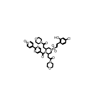 O=C(CC1CN(S(=O)(=O)/C=C/c2ccc(Cl)cc2O)CC(CC(=O)N2CCOCC2)N1C(=O)c1cnc(-c2cc[n+]([O-])cc2)nc1)N1CCOCC1